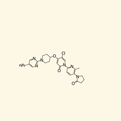 CCCc1cnc(N2CCC(Oc3cc(=O)n(-c4ccc(N5CCCC5=O)c(C)n4)cc3Cl)CC2)nc1